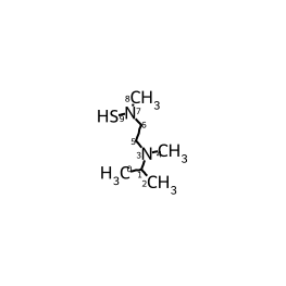 CC(C)N(C)CCN(C)S